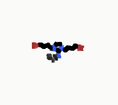 O=[N+]([O-])N=C1N(CCCCBr)CCN1CCCCBr